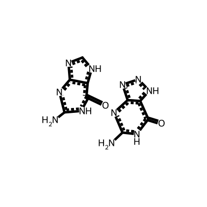 Nc1nc2nc[nH]c2c(=O)[nH]1.Nc1nc2nn[nH]c2c(=O)[nH]1